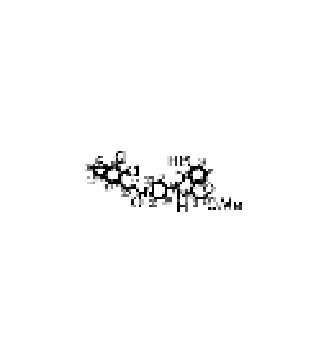 COC(=O)CC(NC(=O)C1CCN(C(=O)/C=C/c2cc3ccsc3c(Cl)c2Cl)CC1)c1cccc(O)c1